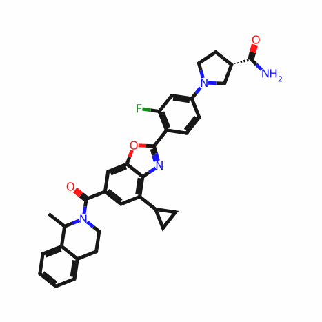 CC1c2ccccc2CCN1C(=O)c1cc(C2CC2)c2nc(-c3ccc(N4CC[C@H](C(N)=O)C4)cc3F)oc2c1